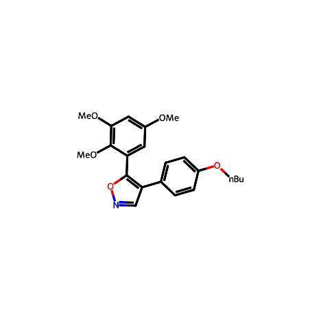 CCCCOc1ccc(-c2cnoc2-c2cc(OC)cc(OC)c2OC)cc1